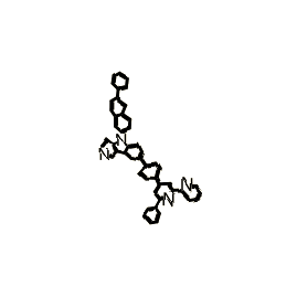 c1ccc(-c2ccc3cc(-n4c5ccncc5c5cc(-c6ccc(-c7cc(-c8ccccc8)nc(-c8ccccn8)c7)cc6)ccc54)ccc3c2)cc1